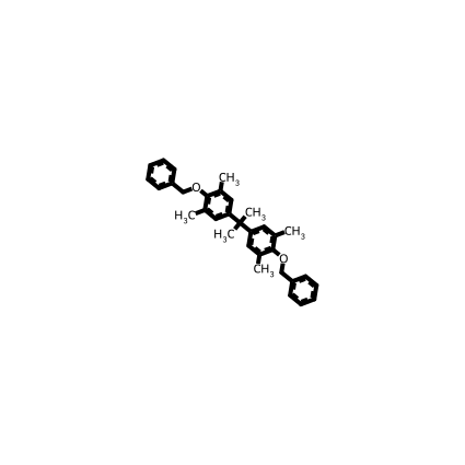 Cc1cc(C(C)(C)c2cc(C)c(OCc3ccccc3)c(C)c2)cc(C)c1OCc1ccccc1